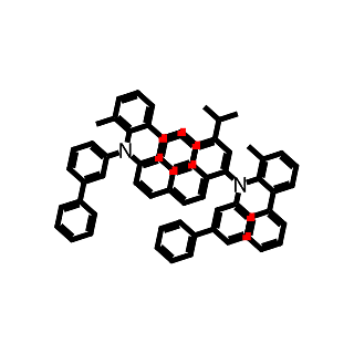 Cc1cccc(-c2ccccc2)c1N(c1cccc(-c2ccccc2)c1)c1ccc2ccc3c(N(c4cccc(-c5ccccc5)c4)c4c(C)cccc4-c4ccccc4)cc(C(C)C)c4ccc1c2c43